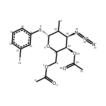 CC(=O)OCC1O[C@H](Sc2cccc(I)c2)C(C)[C@@H](N=[N+]=[N-])[C@H]1OC(C)=O